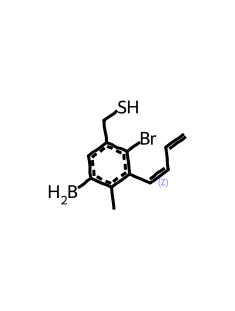 Bc1cc(CS)c(Br)c(/C=C\C=C)c1C